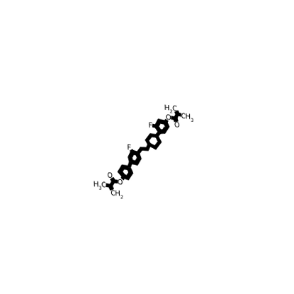 C=C(C)C(=O)Oc1ccc(-c2ccc(CCC3CCC(c4ccc(OC(=O)C(=C)C)cc4F)CC3)c(F)c2)cc1